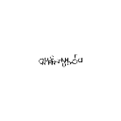 O=C(COc1ccc(Cl)c(F)c1)NC12CC(NC(=O)COc3ccccn3)(C1)C2